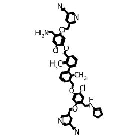 Cc1c(COc2cc(OCc3cncc(C#N)c3)c(CN)cc2Cl)cccc1-c1cccc(COc2cc(OCc3cncc(C#N)c3)c(CNC3CCCC3)cc2Cl)c1C